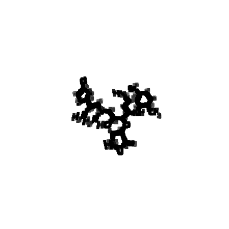 CC1ONCC1OC(/C(=C/C=N)Nc1cc(Br)ccc1C(F)(F)F)C(O)CN(N)/C=C(\N)c1nc(Cl)cs1